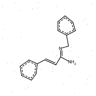 NC(C=Cc1ccccc1)=NCc1ccccc1